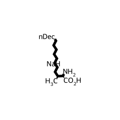 CCCCCCCCCCCCCCCCCC[C@H](C)[C@H](N)C(=O)O.[NaH]